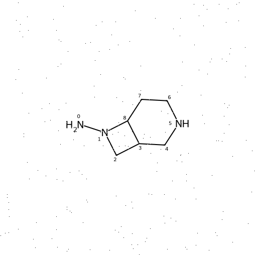 NN1CC2CNCCC21